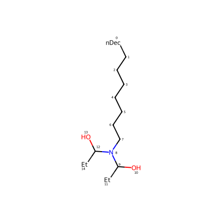 CCCCCCCCCCCCCCCCCN(C(O)CC)C(O)CC